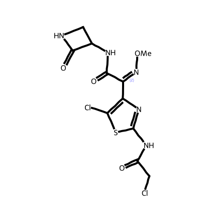 CO/N=C(\C(=O)NC1CNC1=O)c1nc(NC(=O)CCl)sc1Cl